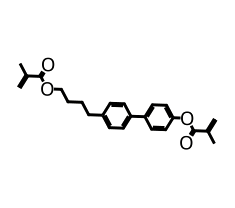 C=C(C)C(=O)OCCCCc1ccc(-c2ccc(OC(=O)C(=C)C)cc2)cc1